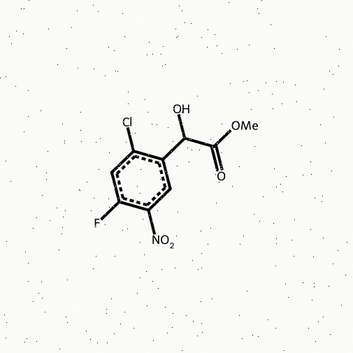 COC(=O)C(O)c1cc([N+](=O)[O-])c(F)cc1Cl